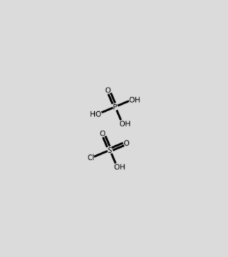 O=P(O)(O)O.O=S(=O)(O)Cl